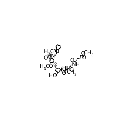 COC(=O)CCCCC(=O)NCC(=O)NC(C)C(=O)Nc1cc(CO)cc(COc2cc(NCC3Cc4ccccc4N3C)c(C=O)cc2OC)c1